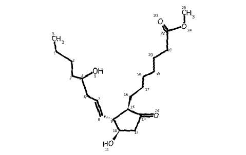 CCCCC(O)C/C=C/[C@H]1[C@H](O)CC(=O)[C@@H]1CCCCCCC(=O)OC